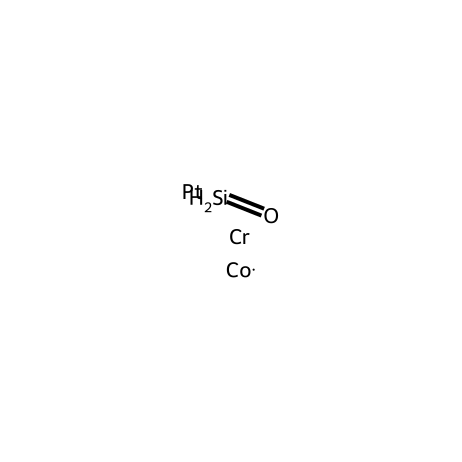 O=[SiH2].[Co].[Cr].[Pt]